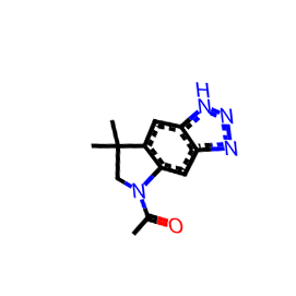 CC(=O)N1CC(C)(C)c2cc3[nH]nnc3cc21